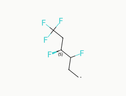 [CH2]CC(F)[C@@H](F)CC(F)(F)F